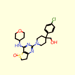 [O-][S+]1CCc2nc(N3CCC(CO)(c4ccc(Cl)cc4)CC3)nc(NC3CCOCC3)c21